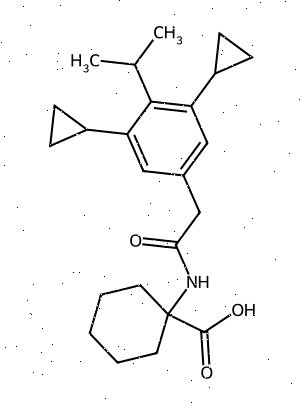 CC(C)c1c(C2CC2)cc(CC(=O)NC2(C(=O)O)CCCCC2)cc1C1CC1